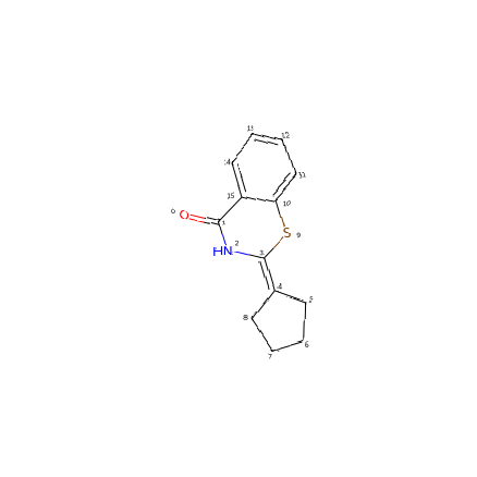 O=C1NC(=C2CCCC2)Sc2ccccc21